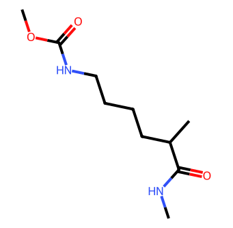 CNC(=O)C(C)CCCCNC(=O)OC